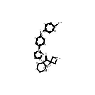 CC1(C(=O)[C@]2(c3ccn(-c4ccc(Oc5ccc(F)cc5)cc4)n3)CCCNC2)COC1